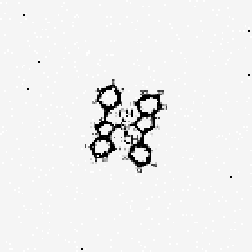 C[Si](C)(C1C(c2ccccc2)=Cc2ccccc21)C1C(c2ccccc2)=Cc2ccccc21